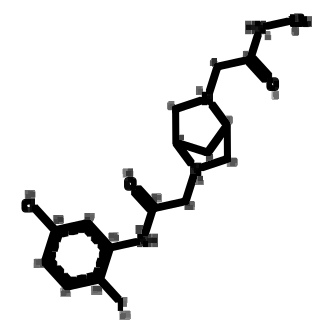 CC(C)(C)NC(=O)CN1CC2CC1CN2CC(=O)Nc1cc(Cl)ccc1F